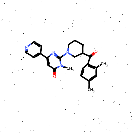 Cc1ccc(C(=O)C2CCCN(c3nc(-c4ccncc4)cc(=O)n3C)C2)c(C)c1